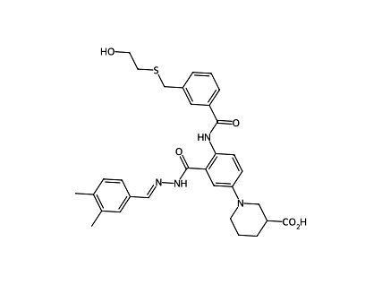 Cc1ccc(/C=N/NC(=O)c2cc(N3CCCC(C(=O)O)C3)ccc2NC(=O)c2cccc(CSCCO)c2)cc1C